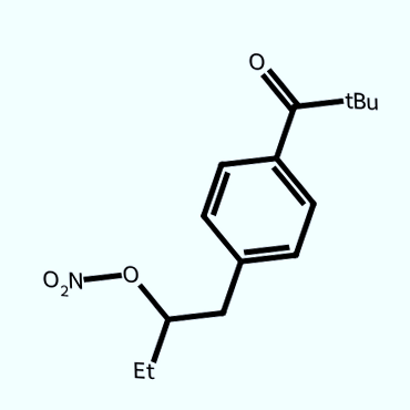 CCC(Cc1ccc(C(=O)C(C)(C)C)cc1)O[N+](=O)[O-]